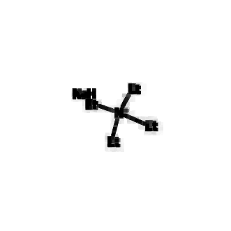 CC[N+](CC)(CC)CC.[NaH]